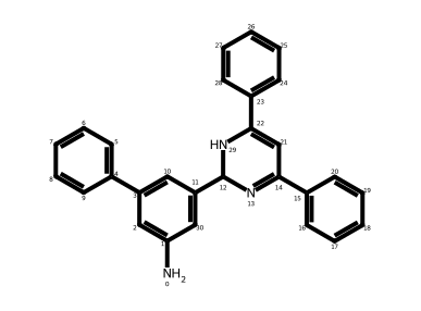 Nc1cc(-c2ccccc2)cc(C2N=C(c3ccccc3)C=C(c3ccccc3)N2)c1